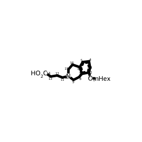 CCCCCCOc1cccc2c1CCN(CCCC(=O)O)CC2